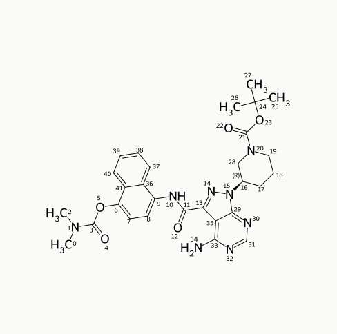 CN(C)C(=O)Oc1ccc(NC(=O)c2nn([C@@H]3CCCN(C(=O)OC(C)(C)C)C3)c3ncnc(N)c23)c2ccccc12